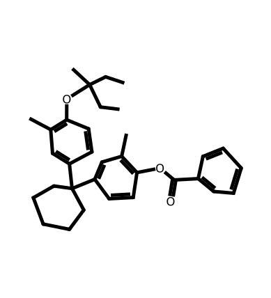 CCC(C)(CC)Oc1ccc(C2(c3ccc(OC(=O)c4ccccc4)c(C)c3)CCCCC2)cc1C